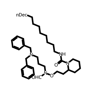 CCCCCCCCCCCCCCCCCCNC(=O)N1CCCCC1CCON(C=O)CCCN(Cc1ccccc1)Cc1ccccc1